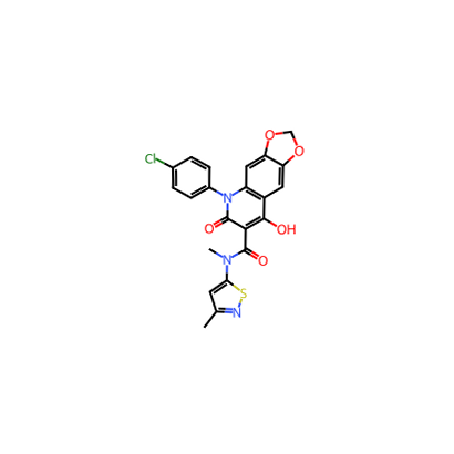 Cc1cc(N(C)C(=O)c2c(O)c3cc4c(cc3n(-c3ccc(Cl)cc3)c2=O)OCO4)sn1